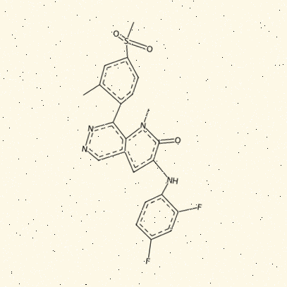 Cc1cc(S(C)(=O)=O)ccc1-c1nncc2cc(Nc3ccc(F)cc3F)c(=O)n(C)c12